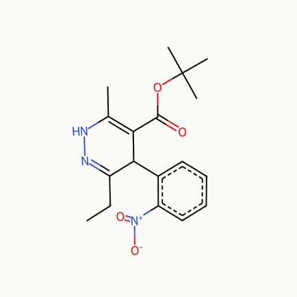 CCC1=NNC(C)=C(C(=O)OC(C)(C)C)C1c1ccccc1[N+](=O)[O-]